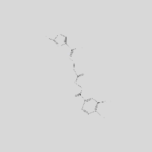 Nc1nc(/C(=N/OCC(=O)NNC(=O)c2ccc(O)c(O)c2)C(=O)O)cs1